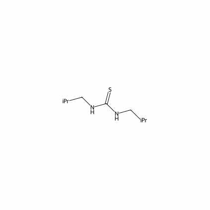 CC(C)CNC(=S)NCC(C)C